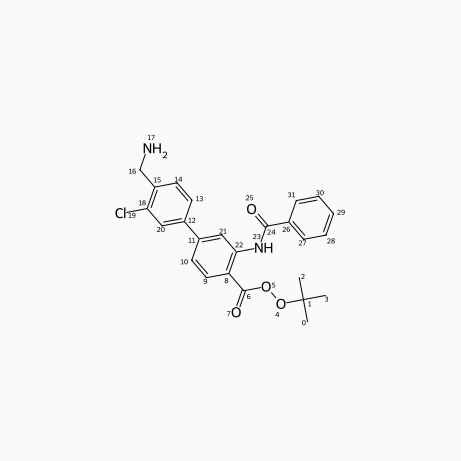 CC(C)(C)OOC(=O)c1ccc(-c2ccc(CN)c(Cl)c2)cc1NC(=O)c1ccccc1